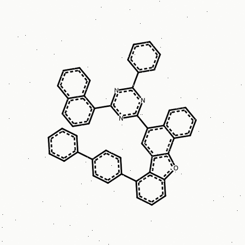 c1ccc(-c2ccc(-c3cccc4oc5c6ccccc6c(-c6nc(-c7ccccc7)nc(-c7cccc8ccccc78)n6)cc5c34)cc2)cc1